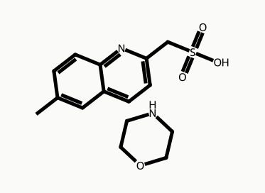 C1COCCN1.Cc1ccc2nc(CS(=O)(=O)O)ccc2c1